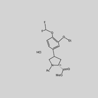 CCOc1cc(C2C[C@H](C(=O)OC)N(C(C)=O)C2)ccc1OC(F)F.Cl